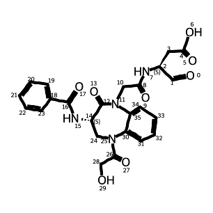 O=C[C@H](CC(=O)O)NC(=O)CN1C(=O)[C@@H](NC(=O)c2ccccc2)CN(C(=O)CO)c2ccccc21